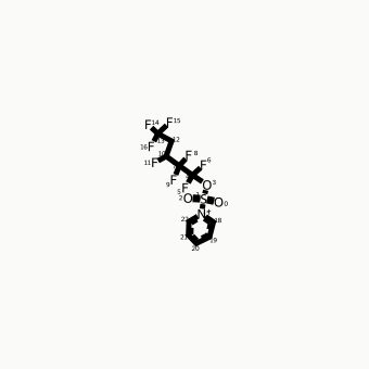 O=S(=O)(OC(F)(F)C(F)(F)C(F)CC(F)(F)F)[n+]1ccccc1